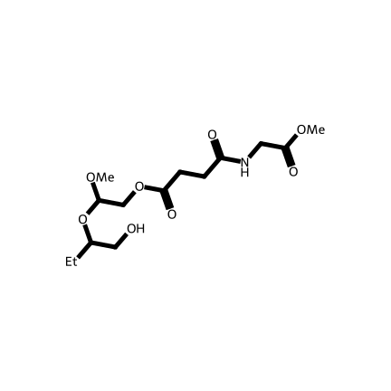 CCC(CO)OC(COC(=O)CCC(=O)NCC(=O)OC)OC